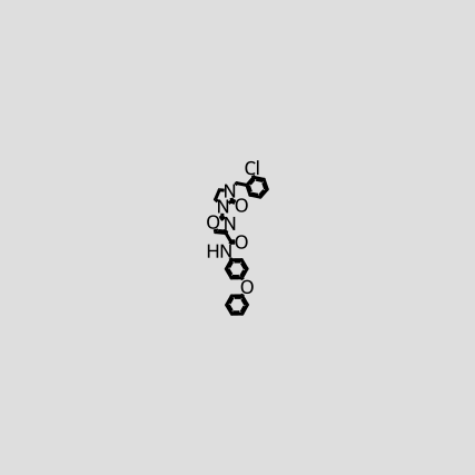 O=C(Nc1ccc(Oc2ccccc2)cc1)c1coc(N2CCN(Cc3ccccc3Cl)C2=O)n1